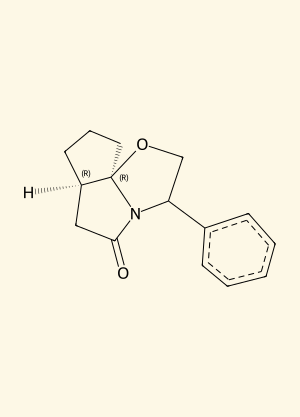 O=C1C[C@H]2CCC[C@@]23OCC(c2ccccc2)N13